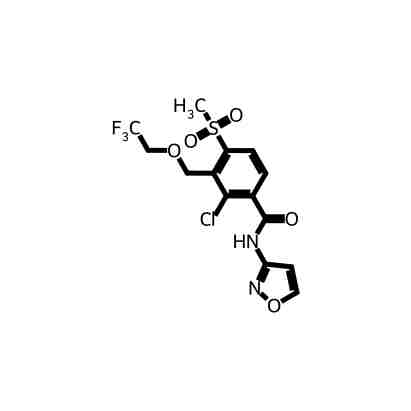 CS(=O)(=O)c1ccc(C(=O)Nc2ccon2)c(Cl)c1COCC(F)(F)F